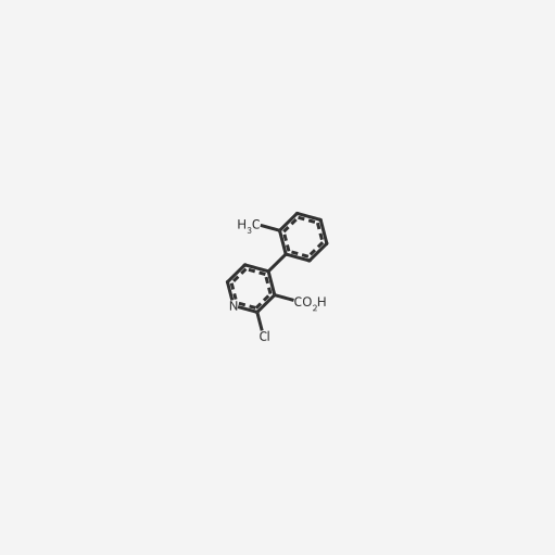 Cc1ccccc1-c1ccnc(Cl)c1C(=O)O